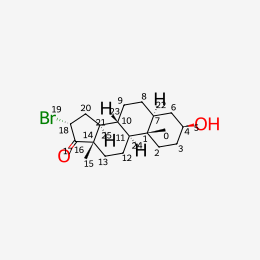 C[C@]12CC[C@H](O)C[C@@H]1CC[C@@H]1[C@@H]2CC[C@]2(C)C(=O)[C@H](Br)C[C@@H]12